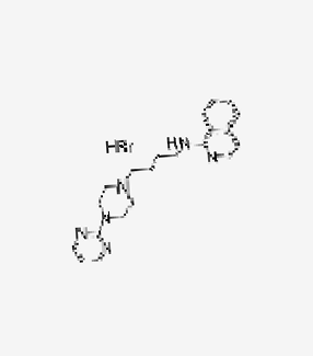 Br.c1cnc(N2CCN(CCCCNc3nccc4ccccc34)CC2)nc1